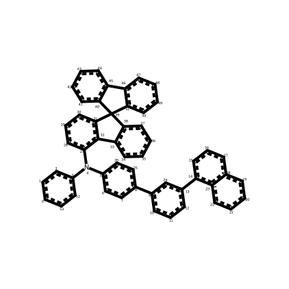 c1ccc(N(c2ccc(-c3cccc(-c4cccc5ccccc45)c3)cc2)c2cccc3c2-c2ccccc2C32c3ccccc3-c3ccccc32)cc1